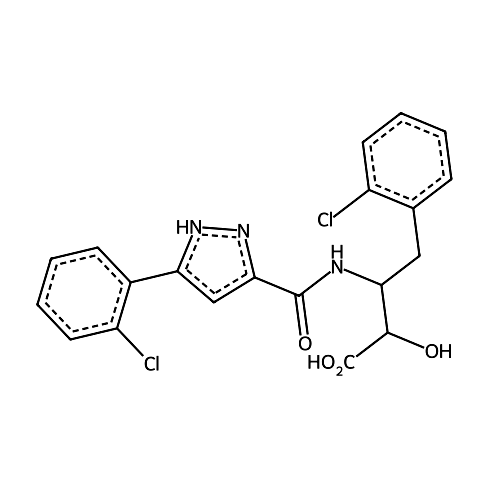 O=C(NC(Cc1ccccc1Cl)C(O)C(=O)O)c1cc(-c2ccccc2Cl)[nH]n1